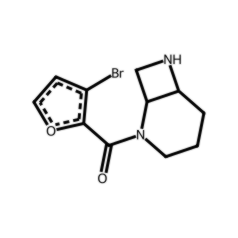 O=C(c1occc1Br)N1CCCC2NCC21